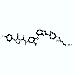 COCCNCc1ccc(-c2cc3nccc(Oc4ccc(NC(=O)N5CCN(c6ccc(F)cc6)C5=S)cc4F)c3s2)nc1